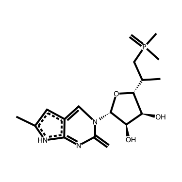 C=C1N=c2[nH]c(C)cc2=CN1[C@@H]1O[C@H](C(C)CP(=C)(C)C)[C@@H](O)[C@H]1O